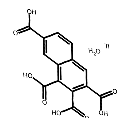 O.O=C(O)c1ccc2cc(C(=O)O)c(C(=O)O)c(C(=O)O)c2c1.[Ti]